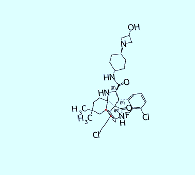 CC1(C)CCC2(CC1)N[C@@H](C(=O)N[C@H]1CC[C@H](N3CC(O)C3)CC1)[C@H](c1cccc(Cl)c1F)[C@]21C(=O)Nc2cc(Cl)ccc21